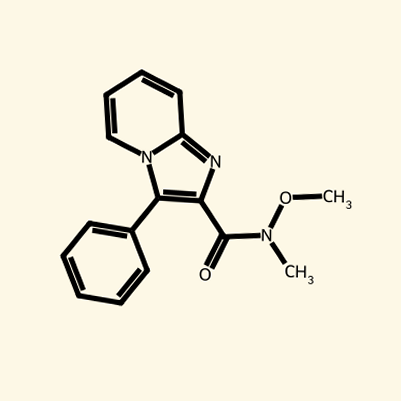 CON(C)C(=O)c1nc2ccccn2c1-c1ccccc1